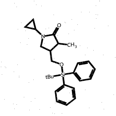 CC1C(=O)N(C2CC2)CC1CO[Si](c1ccccc1)(c1ccccc1)C(C)(C)C